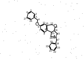 c1ccc(COc2ccc3c(c2)COC2CN(Cc4ccccc4)CC32)cc1